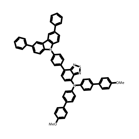 COc1ccc(-c2ccc(N(c3ccc(-c4ccc(OC)cc4)cc3)c3ccc(-c4ccc(-n5c6ccc(-c7ccccc7)cc6c6cc(-c7ccccc7)ccc65)cc4)c4nsnc34)cc2)cc1